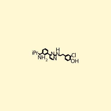 CC(C)C(N)c1cccc(-c2ccnc(NCCc3ccc(O)c(Cl)c3)n2)c1